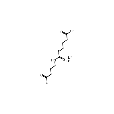 O=C([O-])CCCNC(=S)SCCCC(=O)[O-].[Li+].[Li+]